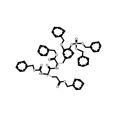 O=C(CC[C@H](NC(=O)OCc1ccccc1)C(=O)N[C@@H](Cc1ccc(OP(=O)(OCc2ccccc2)OCc2ccccc2)c(OCc2ccccc2)c1)C(=O)OCc1ccccc1)OCc1ccccc1